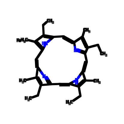 CCC1=C(C)c2cc3[nH]c(cc4nc(cc5[nH]c(cc1n2)c(C)c5CC)C(CC)=C4C)c(C)c3CC.[Fe]